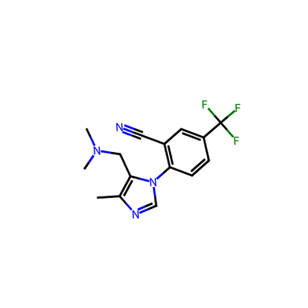 Cc1ncn(-c2ccc(C(F)(F)F)cc2C#N)c1CN(C)C